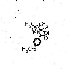 CSc1ccc(C(NC(=O)N(C)C(C)=O)C(=O)O)cc1